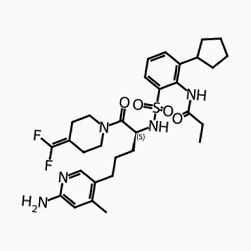 CCC(=O)Nc1c(C2CCCC2)cccc1S(=O)(=O)N[C@@H](CCCc1cnc(N)cc1C)C(=O)N1CCC(=C(F)F)CC1